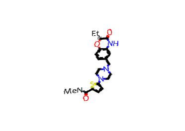 CC[C@H]1Oc2ccc(CN3CCN(c4ccc(C(=O)NC)s4)CC3)cc2NC1=O